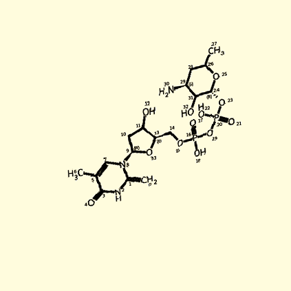 C=C1NC(=O)C(C)=CN1[C@H]1CC(O)[C@@H](COP(=O)(O)OP(=O)(O)O[C@H]2OC(C)C[C@H](N)C2O)O1